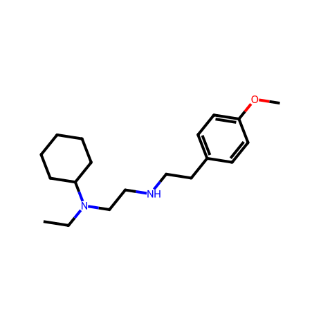 CCN(CCNCCc1ccc(OC)cc1)C1CCCCC1